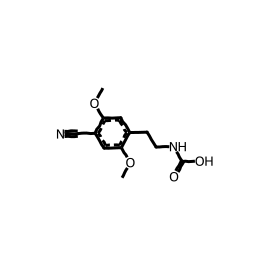 COc1cc(CCNC(=O)O)c(OC)cc1C#N